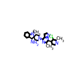 Cc1nccc(-c2c(C)nc(N3CCC4(CC3)[C@H](N)c3ccccc3N4C)c3ccnn23)c1Cl